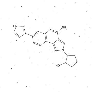 Nc1nc2cc(-c3cc[nH]n3)ccc2c2nn(C3COCC3O)cc12